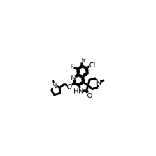 CN1CCC2(CC1)C(=O)Nc1c(OCC3CCCN3C)nc3c(F)c(Br)c(Cl)cc3c12